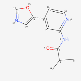 CC(C)C(=O)Nc1cc(-c2cnco2)ccn1